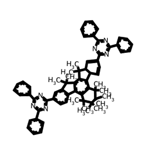 CC1(C)c2cc(-c3nc(-c4ccccc4)nc(-c4ccccc4)n3)ccc2-c2c1c1c(c3c2C(C)(C)C(C)(C)C(C)(C)C3(C)C)C2C=CC(c3nc(-c4ccccc4)nc(-c4ccccc4)n3)=CC2C1(C)C